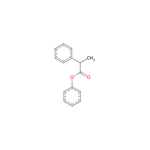 CC(C(=O)Oc1ccccc1)c1[c]cccc1